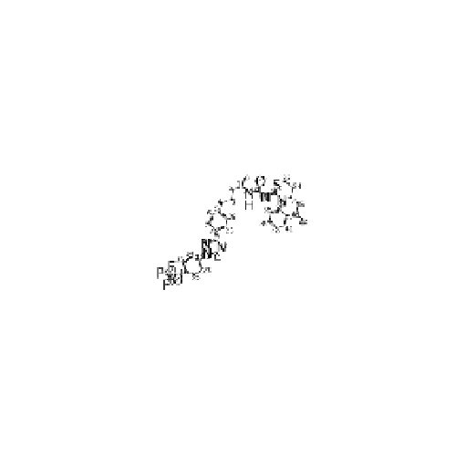 CC(CCCc1ccc(-c2ncn(-c3ccc(OC(F)(F)F)cc3)n2)cc1)NC(=O)/N=C1\SCCCN1c1ccccc1C(C)C